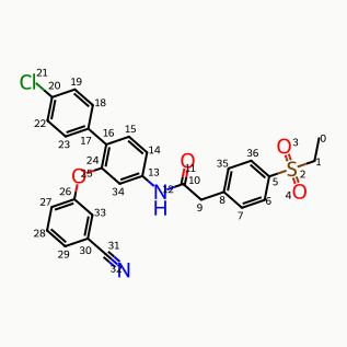 CCS(=O)(=O)c1ccc(CC(=O)Nc2ccc(-c3ccc(Cl)cc3)c(Oc3cccc(C#N)c3)c2)cc1